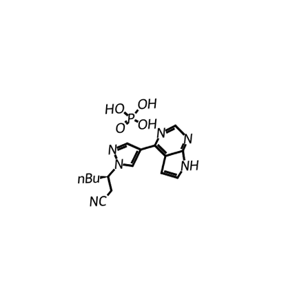 CCCC[C@H](CC#N)n1cc(-c2ncnc3[nH]ccc23)cn1.O=P(O)(O)O